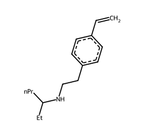 C=Cc1ccc(CCNC(CC)CCC)cc1